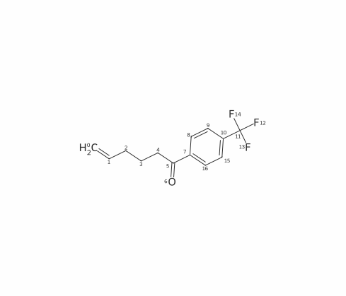 C=CCCCC(=O)c1ccc(C(F)(F)F)cc1